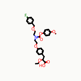 CCOC(Cc1ccc(OCCN(CCOCc2ccc(F)cc2)C(=O)Oc2ccc(OC)cc2)cc1)C(=O)O